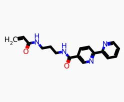 C=CC(=O)NCCCNC(=O)c1ccc(-c2ccccn2)nc1